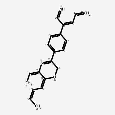 C=C/C=C(\C=N)c1ccc(C2=NC(=C/C)/C(=C\C=C/C)OC2)cc1